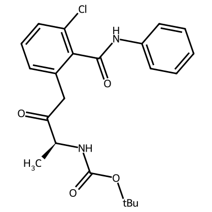 C[C@H](NC(=O)OC(C)(C)C)C(=O)Cc1cccc(Cl)c1C(=O)Nc1ccccc1